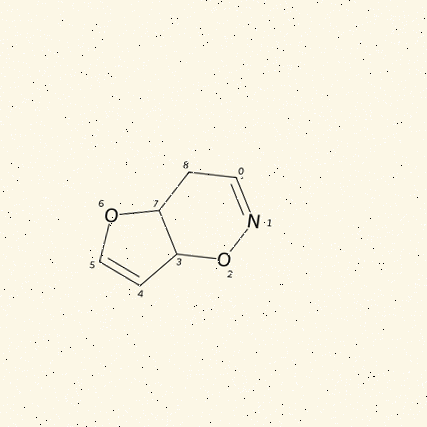 [C]1=NOC2C=COC2C1